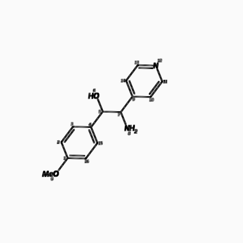 COc1ccc(C(O)C(N)c2ccncc2)cc1